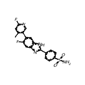 Cc1cc(F)ncc1-c1cc2[nH]c(-c3ccc(S(N)(=O)=O)cc3)nc2cc1F